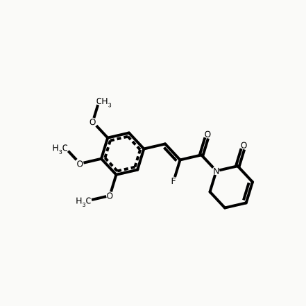 COc1cc(C=C(F)C(=O)N2CCC=CC2=O)cc(OC)c1OC